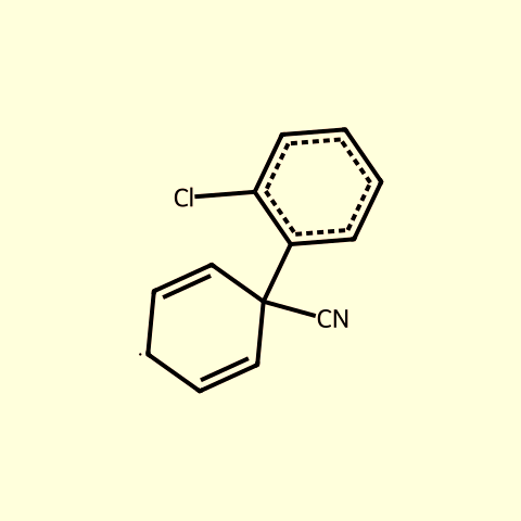 N#CC1(c2ccccc2Cl)C=C[CH]C=C1